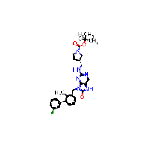 Cc1c(Cn2c(=O)[nH]c3cnc(NC[C@@H]4CCN(C(=O)OC(C)(C)C)C4)nc32)cccc1-c1cccc(F)c1